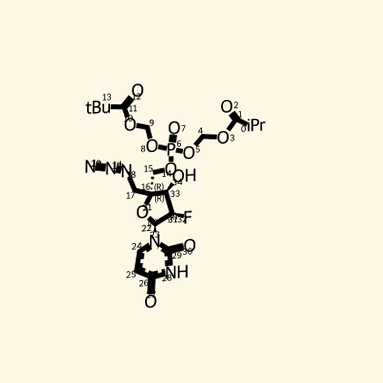 CC(C)C(=O)OCOP(=O)(OCOC(=O)C(C)(C)C)OC[C@@]1(CN=[N+]=[N-])O[C@@H](n2ccc(=O)[nH]c2=O)[C@H](F)[C@@H]1O